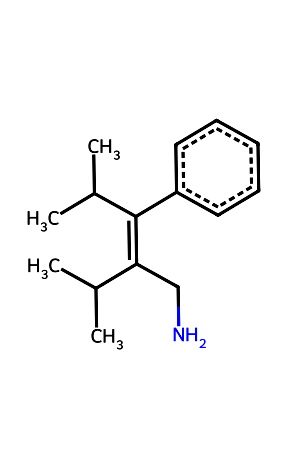 CC(C)C(CN)=C(c1ccccc1)C(C)C